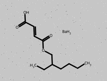 CCCCC(CC)COC(=O)C=CC(=O)O.[BaH2]